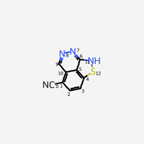 N#Cc1ccc2c3c(nncc13)NS2